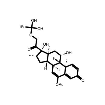 CCC(C)C(O)(O)OCC(=O)[C@]1(O)[C@@H](C)C[C@H]2[C@@H]3C=C(OC(C)=O)C4=CC(=O)C=C[C@]4(C)[C@@]3(F)[C@@H](O)C[C@@]21C